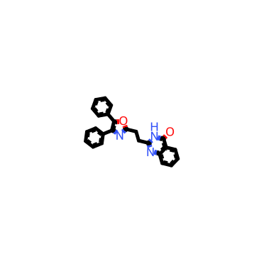 O=c1[nH]c(CCc2nc(-c3ccccc3)c(-c3ccccc3)o2)nc2ccccc12